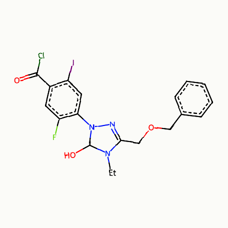 CCN1C(COCc2ccccc2)=NN(c2cc(I)c(C(=O)Cl)cc2F)C1O